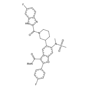 CNC(=O)c1c(-c2ccc(F)cc2)oc2cc(N(C)S(C)(=O)=O)c(C3CCCN(C(=O)c4nc5ccc(F)cc5[nH]4)C3)cc12